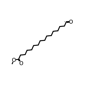 COC(=O)CCCCCCCCCCCCCC[C]=O